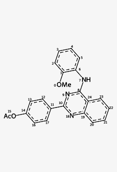 COc1ccccc1Nc1nc(-c2ccc(OC(C)=O)cc2)nc2ccccc12